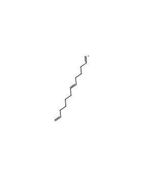 [CH]=CCCCC=CCCCCC=C